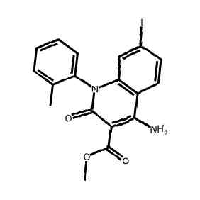 COC(=O)c1c(N)c2ccc(I)cc2n(-c2ccccc2C)c1=O